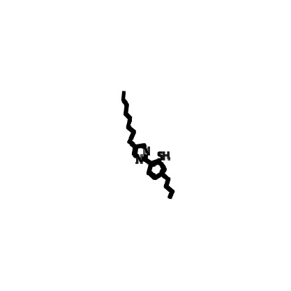 CCCCCCCCc1cnc(-c2ccc(CCCC)cc2S)nc1